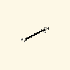 CCCCCCCCCCCCC[N]C(=O)O